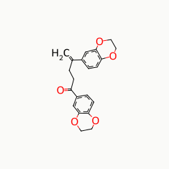 C=C(CCC(=O)c1ccc2c(c1)OCCO2)c1ccc2c(c1)OCCO2